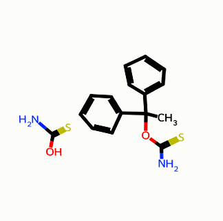 CC(OC(N)=S)(c1ccccc1)c1ccccc1.NC(O)=S